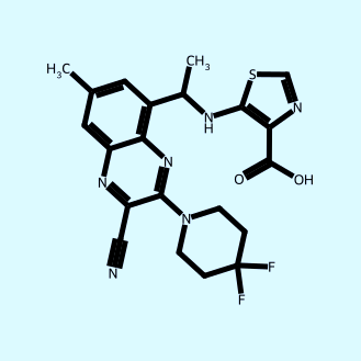 Cc1cc(C(C)Nc2scnc2C(=O)O)c2nc(N3CCC(F)(F)CC3)c(C#N)nc2c1